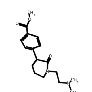 COC(=O)c1ccc(C2CCCN(CCN(C)C)C2=O)cc1